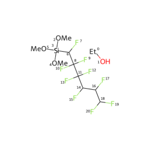 CCO.CO[Si](OC)(OC)C(F)C(F)(F)C(F)(F)C(F)C(F)C(F)F